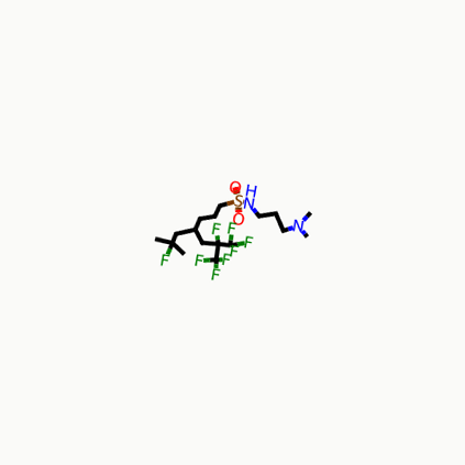 CN(C)CCCNS(=O)(=O)CCCC(CC(C)(C)F)CC(F)(C(F)(F)F)C(F)(F)F